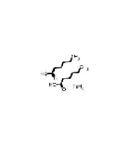 CCCCCC(=O)O.CCCCCC(=O)O.[TeH2]